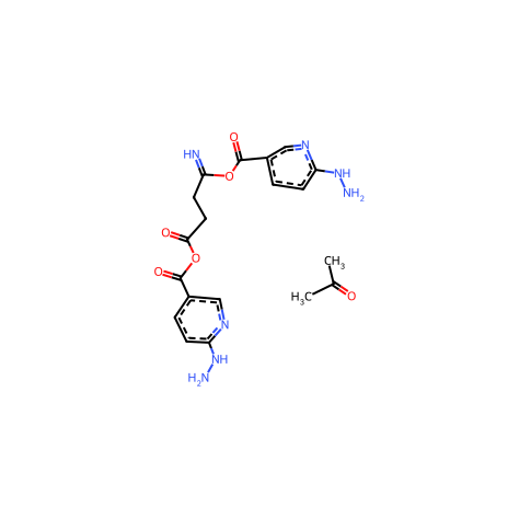 CC(C)=O.N=C(CCC(=O)OC(=O)c1ccc(NN)nc1)OC(=O)c1ccc(NN)nc1